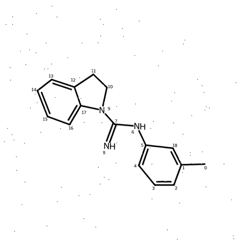 Cc1cccc(NC(=N)N2CCc3ccccc32)c1